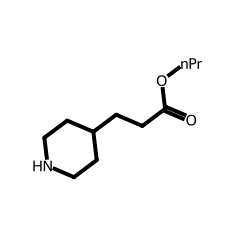 CCCOC(=O)CCC1CCNCC1